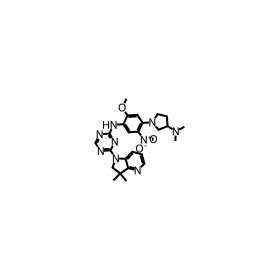 COc1cc(N2CCC(N(C)C)C2)c([N+](=O)[O-])cc1Nc1ncnc(N2CC(C)(C)c3ncccc32)n1